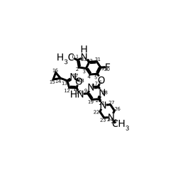 Cc1cc2cc(Oc3nc(Nc4cc(C5CC5)no4)cc(N4CCN(C)CC4)n3)c(F)cc2[nH]1